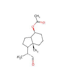 CC(=O)O[C@H]1CCC[C@]2(C)C(C(C)C=O)CCC12